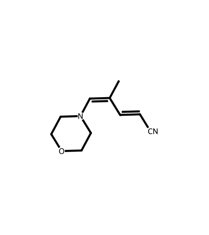 CC(C=CC#N)=CN1CCOCC1